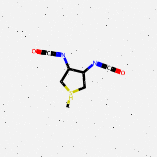 [CH2][SH]1CC(N=C=O)C(N=C=O)C1